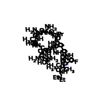 CCN(CC)CCNC(=O)c1c(C)[nH]c(/C=C2\C(=O)N(C(=O)Nc3ccc(-c4ccc(C[C@H]5NC(=O)C(CCN)NC(=O)[C@@H](NC(=O)[C@H](CCN)NC(=O)[C@@H](N)[C@@H](C)O)CCNC(=O)[C@H]([C@@H](C)O)NC(=O)[C@H](CCN)NC(=O)[C@H](CCN)NC(=O)[C@H](CC(C)C)NC5=O)cc4)cc3)c3ccc(F)cc32)c1C